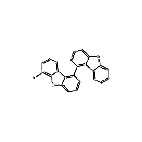 Brc1cccc2c1oc1cccc(-c3cccc4oc5ccccc5c34)c12